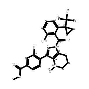 COC(=O)c1ccc(-c2nn(C(=O)c3c(Cl)cccc3C3(C(F)(F)F)CC3)c3c2[S+]([O-])CCC3)c(F)c1